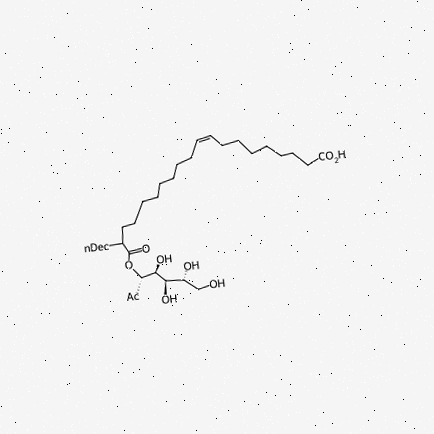 CCCCCCCCCCC(CCCCCCCC/C=C\CCCCCCCC(=O)O)C(=O)O[C@@H](C(C)=O)[C@@H](O)[C@H](O)[C@H](O)CO